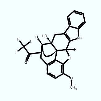 COc1ccc2c3c1O[C@H]1c4[nH]c5ccccc5c4C[C@@]4(O)[C@@H](C2)N(C(=O)C(F)(F)F)CC[C@]314